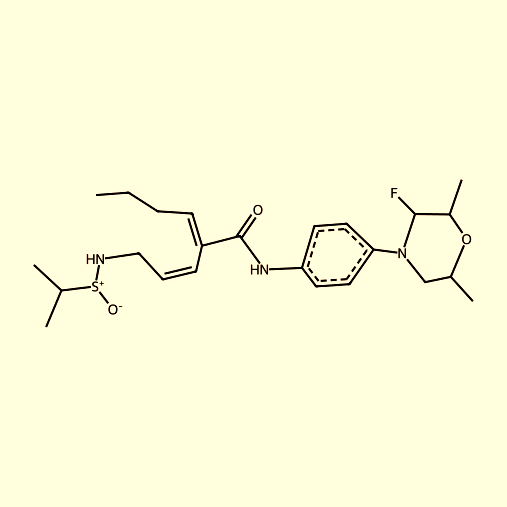 CCC/C=C(\C=C/CN[S+]([O-])C(C)C)C(=O)Nc1ccc(N2CC(C)OC(C)C2F)cc1